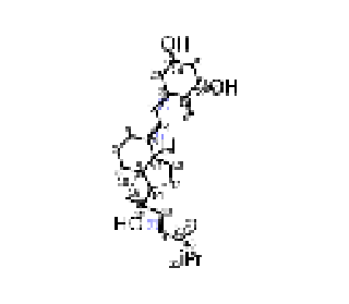 C=C1/C(=C\C=C2/CCC[C@@]3(C)[C@H]2CC[C@@H]3[C@@](C)(O)/C=C/[C@H](C)C(C)C)C[C@@H](O)C[C@@H]1O